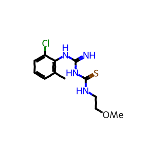 COCCNC(=S)NC(=N)Nc1c(C)cccc1Cl